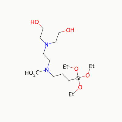 CCO[Si](CCCN(CCN(CCO)CCO)C(=O)O)(OCC)OCC